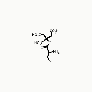 N[C@@H](CS)C(=O)OC(CC(=O)O)(CC(=O)O)C(=O)O